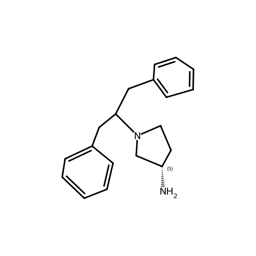 N[C@H]1CCN(C(Cc2ccccc2)Cc2ccccc2)C1